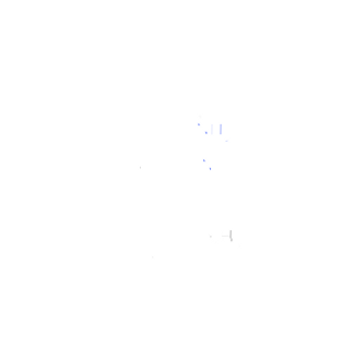 Cc1ccccc1[N]N